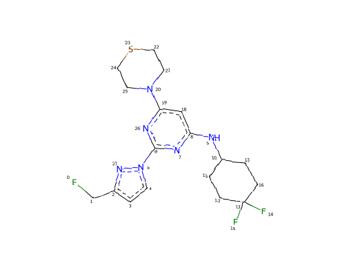 FCc1ccn(-c2nc(NC3CCC(F)(F)CC3)cc(N3CCSCC3)n2)n1